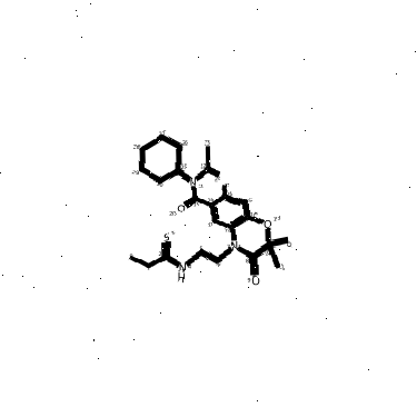 CCC(=S)NCCN1C(=O)C(C)(C)Oc2cc(C)c(C(=O)N(C(C)C)C3CCCCC3)cc21